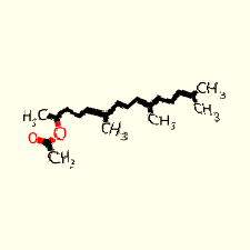 CC(=O)OC(C)CC/C=C(\C)CC/C=C(\C)CCC=C(C)C